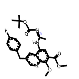 COC(=O)c1cc(N/C(C)=N\C(=O)OC(C)(C)C)c2cc(Cc3ccc(F)cc3)cnc2c1OC